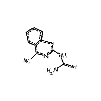 N#Cc1nc(NC(=N)N)nc2ccccc12